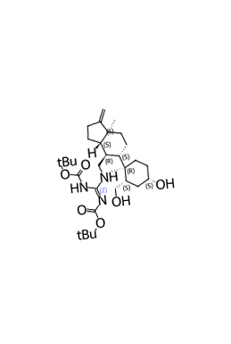 C=C1CC[C@H]2[C@H](CN/C(=N/C(=O)OC(C)(C)C)NC(=O)OC(C)(C)C)[C@@H]([C@@]3(C)CC[C@H](O)C[C@@H]3CO)CC[C@]12C